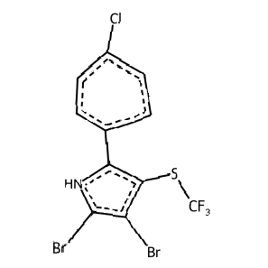 FC(F)(F)Sc1c(-c2ccc(Cl)cc2)[nH]c(Br)c1Br